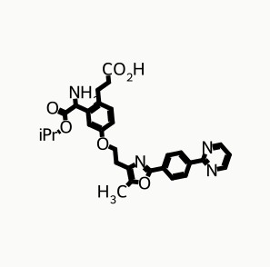 Cc1oc(-c2ccc(-c3ncccn3)cc2)nc1CCOc1ccc(CCC(=O)O)c(C(N)C(=O)OC(C)C)c1